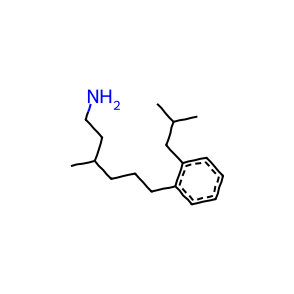 CC(C)Cc1ccccc1CCCC(C)CCN